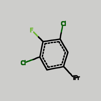 CC(C)c1cc(Cl)c(F)c(Cl)c1